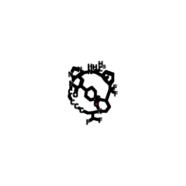 C[C@H]1Nc2ncnc3c2cc(C2CCS(=O)(=O)CC2)c(=O)n3CCCCCCC(C(F)F)N2CCC(CC2)C(F)(F)c2cccc1c2F